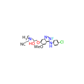 COc1cc2c(Nc3ccc(Cl)cc3F)ncnc2cc1OCC(O)CN(C)CCC#N